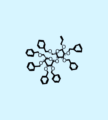 C=CCOC1O[C@H](COCc2ccccc2)[C@@H](O[C@@H]2O[C@H](COCc3ccccc3)[C@H](OCc3ccccc3)[C@H](OCc3ccccc3)[C@H]2OCc2ccccc2)[C@H](OCc2ccccc2)[C@H]1OCc1ccccc1